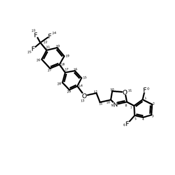 Fc1cccc(F)c1C1=NC(CCOc2ccc(-c3ccc(C(F)(F)F)cc3)cc2)CO1